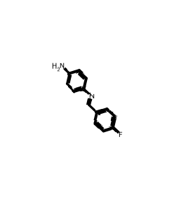 Nc1ccc(N=Cc2ccc(F)cc2)cc1